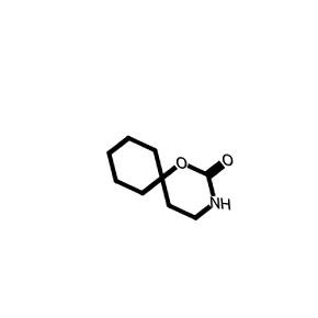 O=C1NCCC2(CCCCC2)O1